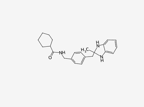 CC1(Cc2ccc(CNC(=O)C3CCCCC3)cc2)Nc2ccccc2N1